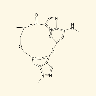 CNc1cc2nn3c(cnc13)C(=O)O[C@H](C)COCc1cc(c3nnn(C)c3c1)N2